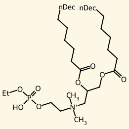 CCCCCCCCCCCCCCCC(=O)OCC(C[N+](C)(C)CCOP(=O)(O)OCC)OC(=O)CCCCCCCCCCCCCCC